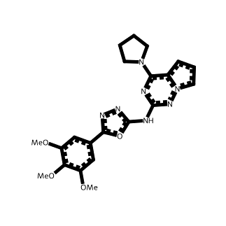 COc1cc(-c2nnc(Nc3nc(N4CCCC4)c4cccn4n3)o2)cc(OC)c1OC